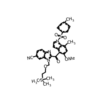 COc1cc(C)c2c(ccn2S(=O)(=O)c2ccc(C)cc2)c1C(=O)c1nc2ccc(C#N)cc2n1COCC[Si](C)(C)C